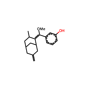 C=C1CC2CC(C)/C(=C(\OC)c3cccc(O)c3)C(C1)C2